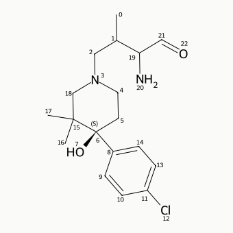 CC(CN1CC[C@](O)(c2ccc(Cl)cc2)C(C)(C)C1)C(N)C=O